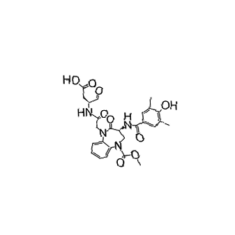 COC(=O)N1C[C@H](NC(=O)c2cc(C)c(O)c(C)c2)C(=O)N(CC(=O)N[C@H](C=O)CC(=O)O)c2ccccc21